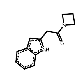 O=C([CH]c1cc2ccccc2[nH]1)N1CCC1